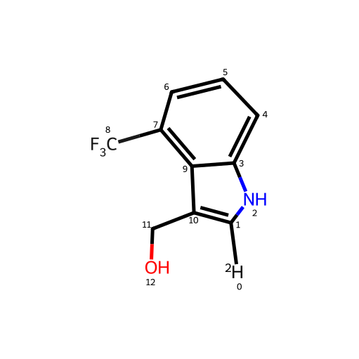 [2H]c1[nH]c2cccc(C(F)(F)F)c2c1CO